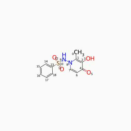 Cc1c(O)c(=O)ccn1NS(=O)(=O)c1ccccc1